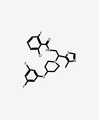 Cc1ncsc1C(CNC(=O)c1c(F)cccc1Cl)N1CCC(Oc2cc(F)cc(F)c2)CC1